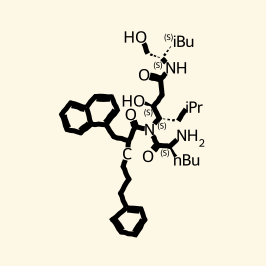 CCCC[C@H](N)C(=O)N(C(=O)C(CCCCc1ccccc1)Cc1cccc2ccccc12)[C@@H](CC(C)C)[C@@H](O)CC(=O)N[C@H](CO)[C@@H](C)CC